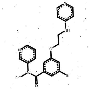 CCCN(C(=O)c1cc(Br)cc(OCCNc2ccncc2)c1)c1cccnc1